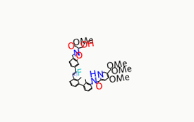 COC(=O)C(CO)N1Cc2ccc(/C(F)=C/c3cccc(-c4cccc(NC(=O)c5cc(OC)c(C(OC)OC)cn5)c4C)c3C)cc2O1